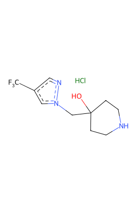 Cl.OC1(Cn2cc(C(F)(F)F)cn2)CCNCC1